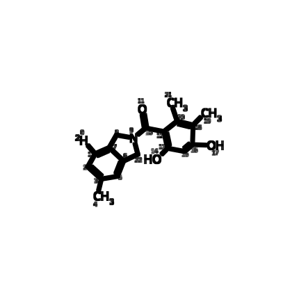 [2H]c1cc(C)cc2c1CN(C(=O)c1c(O)cc(O)c(C)c1C)C2